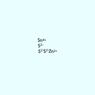 [S-2].[S-2].[S-2].[Sn+4].[Zn+2]